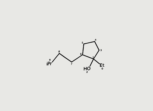 CCC1(O)CCCC1CCC(C)C